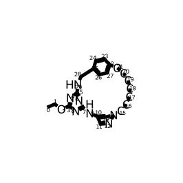 CCOc1nc2nc(n1)Nc1cnn(c1)CCCCCCOc1ccc(cc1)CN2